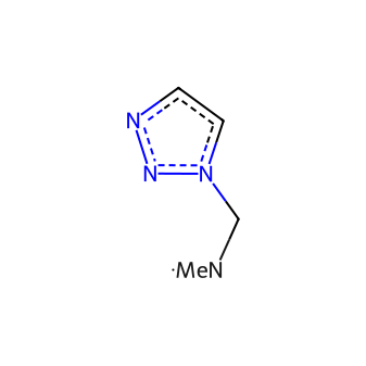 C[N]Cn1ccnn1